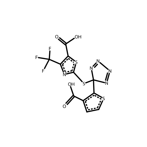 O=C(O)c1ccsc1C1(Sc2nc(C(F)(F)F)c(C(=O)O)s2)N=NN=N1